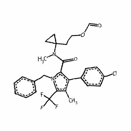 Cc1c(-c2ccc(Cl)cc2)c(C(=O)N(C)C2(CCOC=O)CC2)n(Cc2ccccc2)c1C(F)(F)F